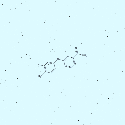 Cc1cc(Oc2ccnc(C(N)=O)c2)ccc1N